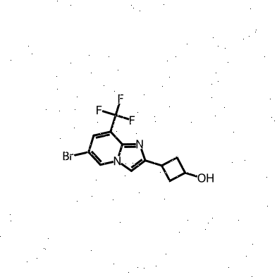 OC1CC(c2cn3cc(Br)cc(C(F)(F)F)c3n2)C1